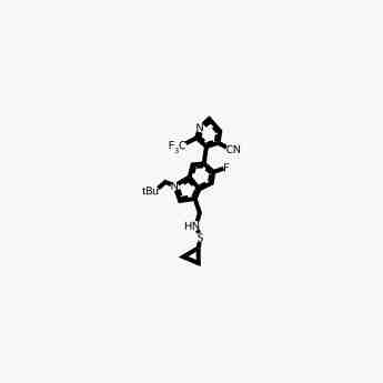 CC(C)(C)Cn1cc(CNSC2CC2)c2cc(F)c(-c3c(C#N)ccnc3C(F)(F)F)cc21